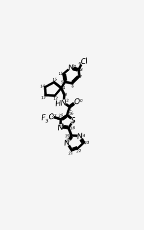 O=C(NCC1(c2ccc(Cl)nc2)CCCC1)c1sc(-c2ncccn2)nc1C(F)(F)F